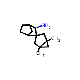 CC12CC3(CC1(C)C2)C1CCC(C1)[C@H]3N